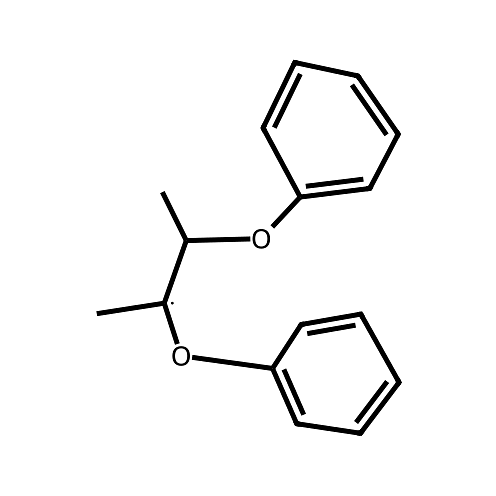 C[C](Oc1ccccc1)C(C)Oc1ccccc1